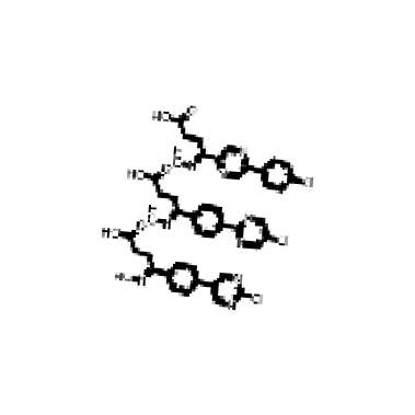 O=C(O)CCC(=NO)c1ccc(-c2cnc(Cl)nc2)cc1.O=C(O)CCC(=NO)c1ccc(-c2ncc(Cl)cn2)cc1.O=C(O)CCC(=NO)c1cnc(-c2ccc(Cl)cc2)cn1